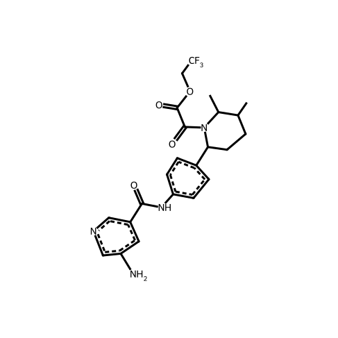 CC1CCC(c2ccc(NC(=O)c3cncc(N)c3)cc2)N(C(=O)C(=O)OCC(F)(F)F)C1C